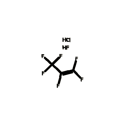 Cl.F.FC(F)=C(F)C(F)(F)F